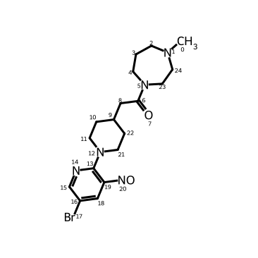 CN1CCCN(C(=O)CC2CCN(c3ncc(Br)cc3N=O)CC2)CC1